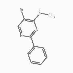 CNc1nc(-c2ccccc2)ncc1Br